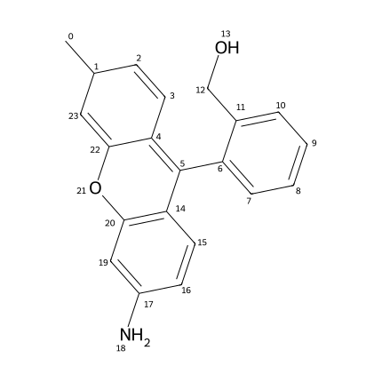 CC1C=CC2=C(c3ccccc3CO)c3ccc(N)cc3OC2=C1